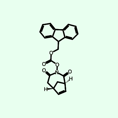 O=C(OCC1c2ccccc2-c2ccccc21)ON1C(=O)C[C@H]2C=C[C@@H](C2)C1=O